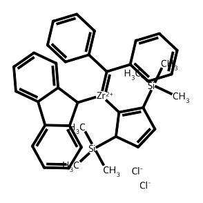 C[Si](C)(C)C1=[C]([Zr+2](=[C](c2ccccc2)c2ccccc2)[CH]2c3ccccc3-c3ccccc32)C([Si](C)(C)C)C=C1.[Cl-].[Cl-]